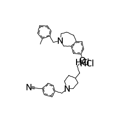 Cc1ccccc1CN1CCCc2ccc(OCCC3CCN(Cc4ccc(C#N)cc4)CC3)cc2C1.Cl.Cl